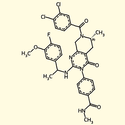 CNC(=O)c1ccc(-n2c(NC(C)c3ccc(F)c(OC)c3)nc3c(c2=O)C[C@@H](C)N(C(=O)c2ccc(Cl)c(Cl)c2)C3)cc1